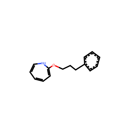 C1=CC=C(OCCCc2ccccc2)NC=C1